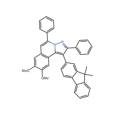 COc1cc2cc(-c3ccccc3)n3nc(-c4ccccc4)c(-c4ccc5c(c4)C(C)(C)c4ccccc4-5)c3c2cc1OC